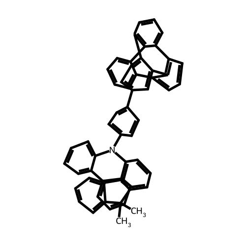 CC1(C)c2ccccc2-c2c(N(c3ccc(-c4ccc5c(c4)-c4c6cccc4-c4cccc-5c4-c4ccccc4-6)cc3)c3ccccc3-c3ccccc3)cccc21